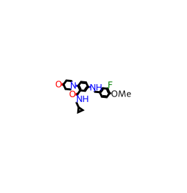 COc1ccc(CNc2ccc(N3CCC(=O)CC3)c(C(=O)NCC3CC3)c2)cc1F